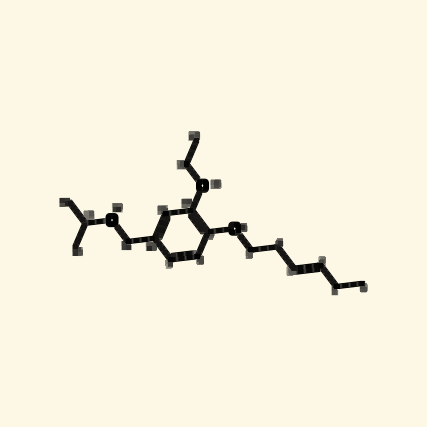 CCC=CCCOc1ccc(COC(C)C)cc1OCC